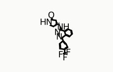 O=C1C[C@H](Nc2nnc(-c3ccc(C(F)(F)F)cc3)c3ccccc23)CCN1